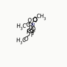 CCOC(=O)/C(=N\OS(=O)(=O)C(F)(F)C(F)CCOC)c1ccc(C)cc1